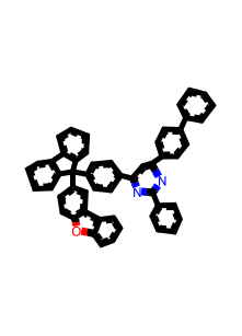 c1ccc(-c2ccc(-c3cc(-c4ccc(C5(c6ccc7oc8ccccc8c7c6)c6ccccc6-c6ccccc65)cc4)nc(-c4ccccc4)n3)cc2)cc1